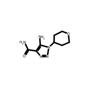 NC(=O)c1nnn(C2CCOCC2)c1N